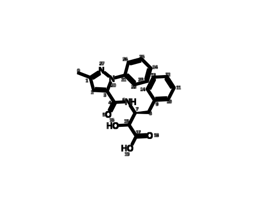 Cc1cc(C(=O)N[C@@H](Cc2ccccc2)C(O)C(=O)O)n(-c2ccccc2)n1